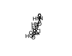 O=C(CSc1nc2ccccc2[nH]1)NC1CCN(c2c(F)cc3c(=O)c(C(=O)O)cn(C4CC4)c3c2Cl)C1